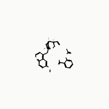 C=C[C@@H]1CN2CC[C@H]1C[C@H]2[C@H](O)c1ccnc2ccc(OC)cc12.CC(=O)Oc1ccccc1C(=O)O